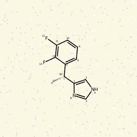 C[C@@H](c1c[nH]cn1)c1cccc(F)c1F